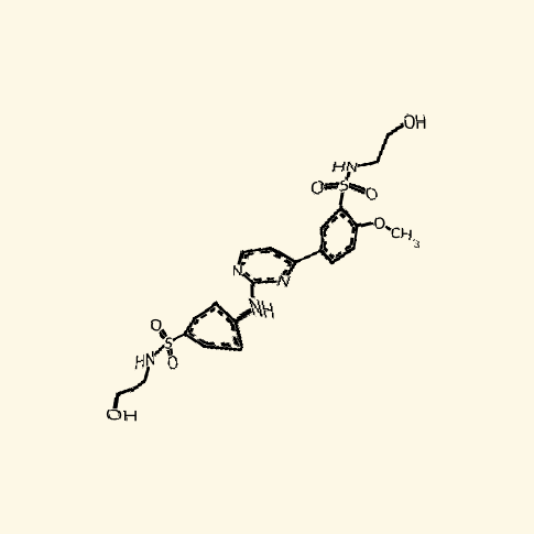 COc1ccc(-c2ccnc(Nc3ccc(S(=O)(=O)NCCO)cc3)n2)cc1S(=O)(=O)NCCO